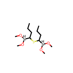 CCCC(SC(CCC)[SiH](OC)OC)[SiH](OC)OC